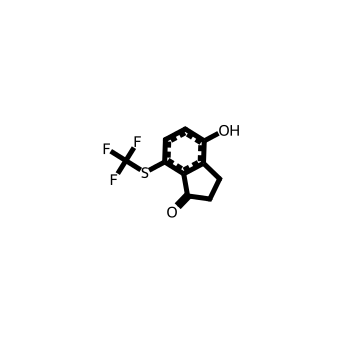 O=C1CCc2c(O)ccc(SC(F)(F)F)c21